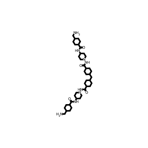 NCC1CCC(C(=O)NC2CCN(NC(=O)C3CCC(CC4CCC(C(=O)NN5CCC(NC(=O)C6CCC(CN)CC6)CC5)CC4)CC3)CC2)CC1